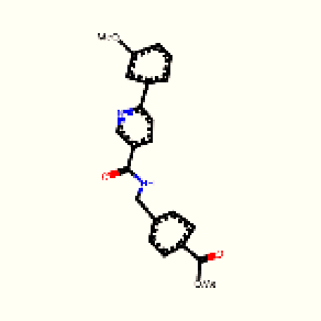 COC(=O)c1ccc(CNC(=O)c2ccc(-c3cccc(OC)c3)nc2)cc1